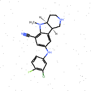 CN1c2c(C#N)cc(Nc3ccc(F)c(Cl)c3)cc2[C@@H]2CNCC[C@@H]21